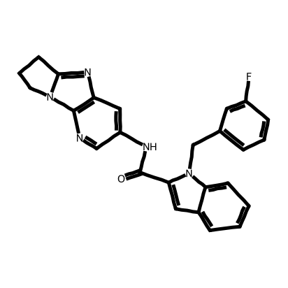 O=C(Nc1cnc2c(c1)nc1n2CCC1)c1cc2ccccc2n1Cc1cccc(F)c1